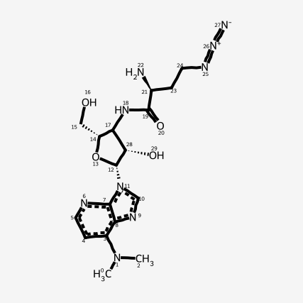 CN(C)c1ccnc2c1ncn2[C@@H]1O[C@H](CO)C(NC(=O)[C@@H](N)CCN=[N+]=[N-])[C@@H]1O